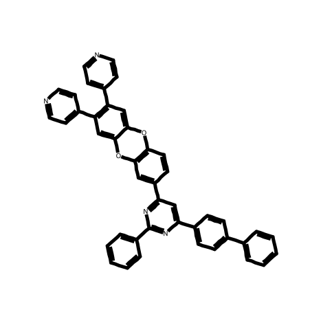 c1ccc(-c2ccc(-c3cc(-c4ccc5c(c4)Oc4cc(-c6ccncc6)c(-c6ccncc6)cc4O5)nc(-c4ccccc4)n3)cc2)cc1